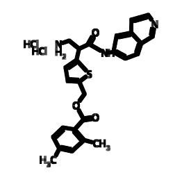 Cc1ccc(C(=O)OCc2ccc(C(CN)C(=O)Nc3ccc4cnccc4c3)s2)c(C)c1.Cl.Cl